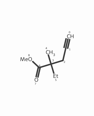 C#CCC(C)(CC)C(=O)OC